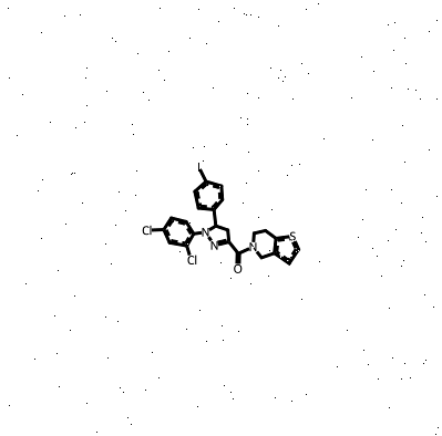 O=C(C1=NN(c2ccc(Cl)cc2Cl)C(c2ccc(I)cc2)C1)N1CCc2sccc2C1